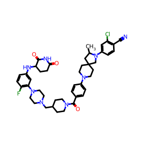 CC1CC2(CCN(c3ccc(C(=O)N4CCC(CN5CCN(c6cc(NC7CCC(=O)NC7=O)ccc6F)CC5)CC4)cc3)CC2)CN1c1ccc(C#N)c(Cl)c1